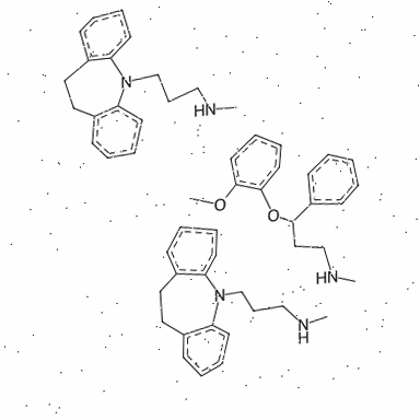 CNCCC(Oc1ccccc1OC)c1ccccc1.CNCCCN1c2ccccc2CCc2ccccc21.CNCCCN1c2ccccc2CCc2ccccc21